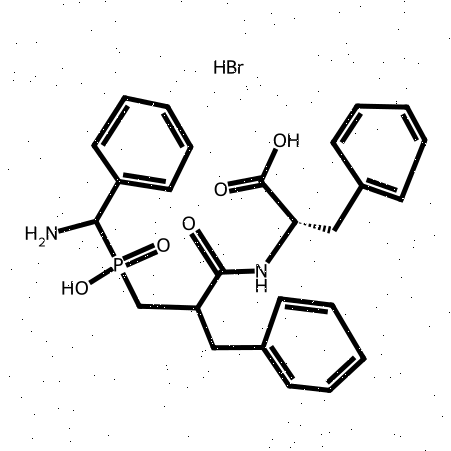 Br.NC(c1ccccc1)P(=O)(O)CC(Cc1ccccc1)C(=O)N[C@@H](Cc1ccccc1)C(=O)O